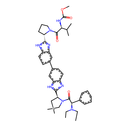 CCN(CC)[C@@H](C(=O)N1C[Si](C)(C)C[C@H]1c1nc2ccc(-c3ccc4[nH]c([C@@H]5CCCN5C(=O)[C@@H](NC(=O)OC)C(C)C)nc4c3)cc2[nH]1)c1ccccc1